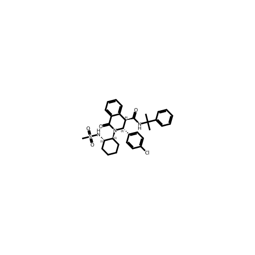 CC(C)(NC(=O)[C@@H]1c2ccccc2C(=O)N([C@H]2CCCC[C@@H]2NS(C)(=O)=O)[C@H]1c1ccc(Cl)cc1)c1ccccc1